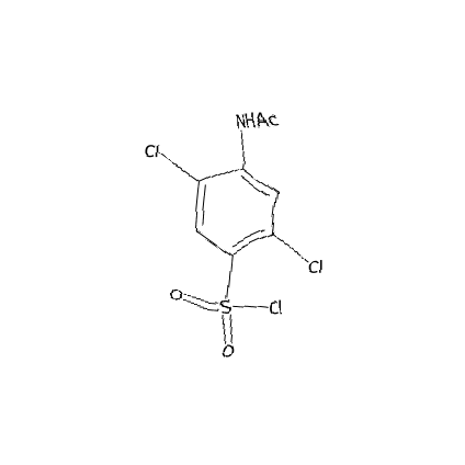 CC(=O)Nc1cc(Cl)c(S(=O)(=O)Cl)cc1Cl